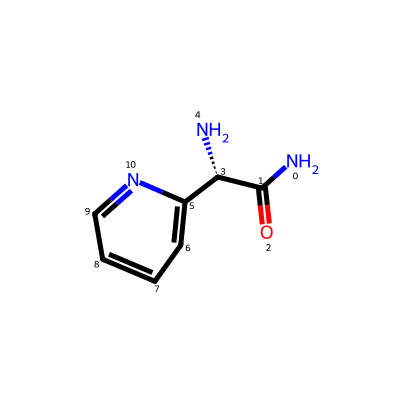 NC(=O)[C@@H](N)c1ccccn1